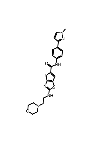 Cn1ccc(-c2ccc(NC(=O)c3cc4sc(NCCN5CCOCC5)nc4s3)cc2)n1